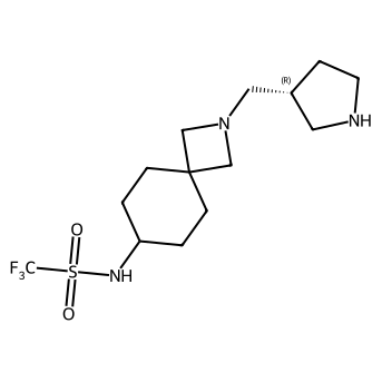 O=S(=O)(NC1CCC2(CC1)CN(C[C@@H]1CCNC1)C2)C(F)(F)F